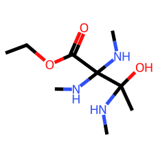 CCOC(=O)C(NC)(NC)C(C)(O)NC